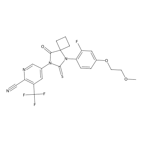 COCCOc1ccc(N2C(=S)N(c3cnc(C#N)c(C(F)(F)F)c3)C(=O)C23CCC3)c(F)c1